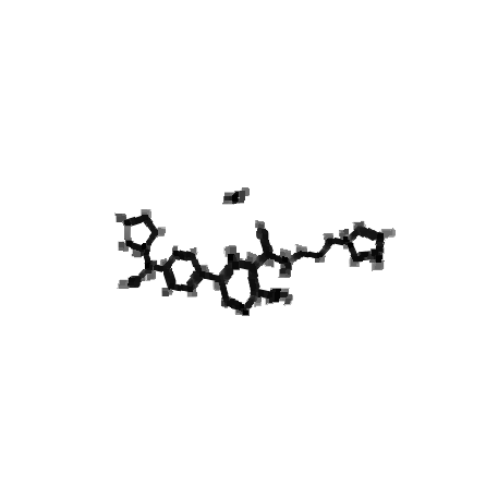 Cl.Nc1ncc(-c2ccc([S+]([O-])N3CCCC3)cc2)nc1C(=O)NCCCn1ccnc1